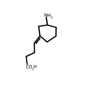 NC1CCC/C(=C\CCC(=O)O)C1